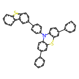 c1ccc(-c2ccc3c(c2)Sc2cc(-c4ccccc4)ccc2N3c2ccc(-c3ccc4sc5ccccc5c4c3)cc2)cc1